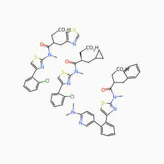 CN(C(=O)C(CC(=O)O)Cc1cscn1)c1nc(-c2ccccc2Cl)cs1.CN(C(=O)[C@@H](CC(=O)O)CC1CC1)c1nc(-c2ccccc2Cl)cs1.CN(C)c1ccc(-c2ccccc2-c2csc(N(C)C(=O)C(CC(=O)O)Cc3ccccc3)n2)cn1